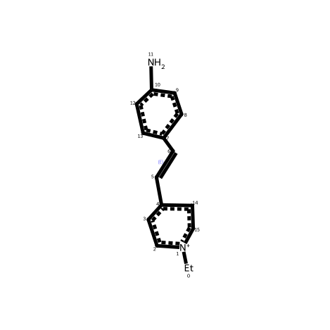 CC[n+]1ccc(/C=C/c2ccc(N)cc2)cc1